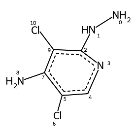 NNc1ncc(Cl)c(N)c1Cl